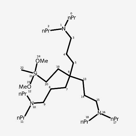 CCCN(CCC)CCCC(CCCN(CCC)CCC)(CCCN(CCC)CCC)CC[Si](C)(OC)OC